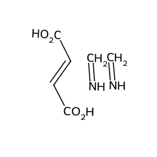 C=N.C=N.O=C(O)/C=C/C(=O)O